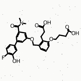 CN(C)C(=O)c1cc(OCc2cccc(OCCCC(=O)O)c2CCC(=O)O)cc(-c2ccc(F)c(O)c2)c1